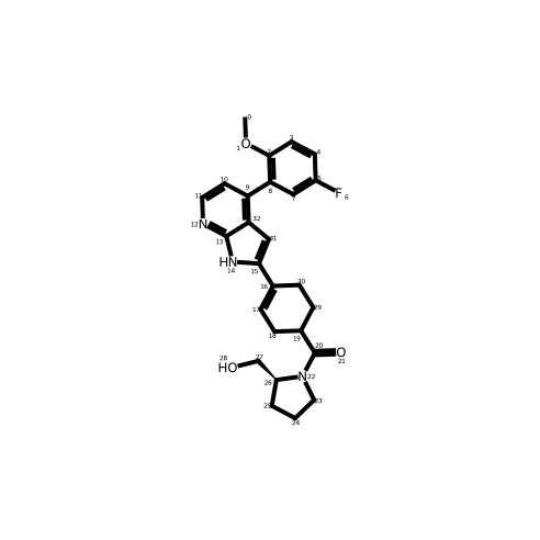 COc1ccc(F)cc1-c1ccnc2[nH]c(C3=CCC(C(=O)N4CCC[C@H]4CO)CC3)cc12